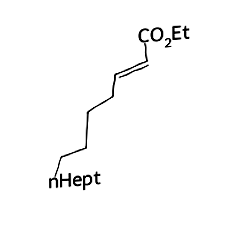 CCCCCCCCCCCC=CC(=O)OCC